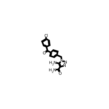 NC(=O)c1nnn(Cc2ccc(C(=O)c3ccc(Cl)cc3)cc2)c1N